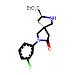 CCOC(=O)[C@@H]1C[C@]2(CN1)CC(=O)N(c1cccc(Cl)c1)C2